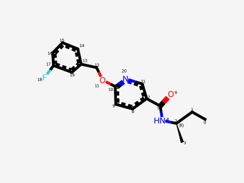 CC[C@@H](C)NC(=O)c1ccc(OCc2cccc(F)c2)nc1